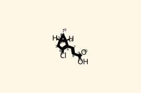 C[C@H]1[C@H]2CC(Cl)=C(C=CC(=O)O)[C@@H]12